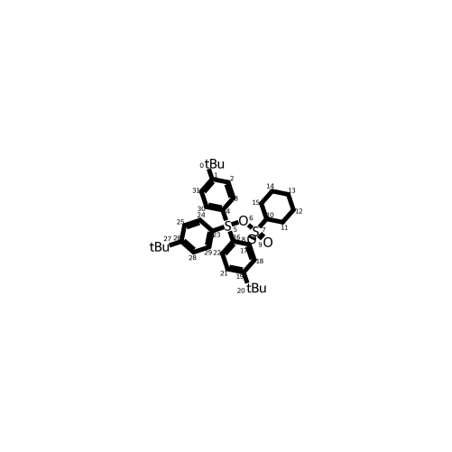 CC(C)(C)c1ccc(S(OS(=O)(=O)C2CCCCC2)(c2ccc(C(C)(C)C)cc2)c2ccc(C(C)(C)C)cc2)cc1